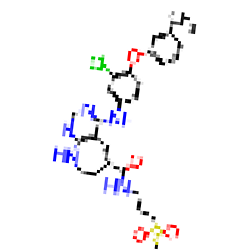 CS(=O)(=O)CCCNC(=O)C1=Cc2c(ncnc2Nc2ccc(Oc3cccc(C(F)(F)F)c3)c(Cl)c2)NCC1